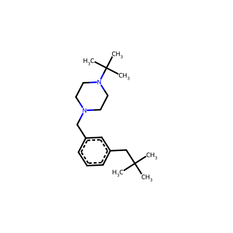 CC(C)(C)Cc1cccc(CN2CCN(C(C)(C)C)CC2)c1